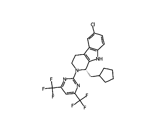 FC(F)(F)c1cc(C(F)(F)F)nc(N2CCc3c([nH]c4ccc(Cl)cc34)[C@@H]2CC2CCCC2)n1